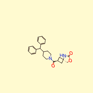 O=C1N[C@]2(CO1)C[C@H](C(=O)N1CCC(C(c3ccccc3)c3ccccc3)CC1)C2